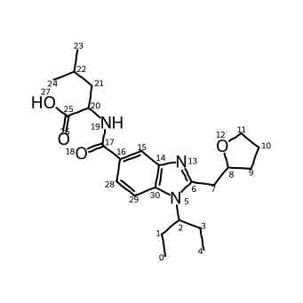 CCC(CC)n1c(CC2CCCO2)nc2cc(C(=O)NC(CC(C)C)C(=O)O)ccc21